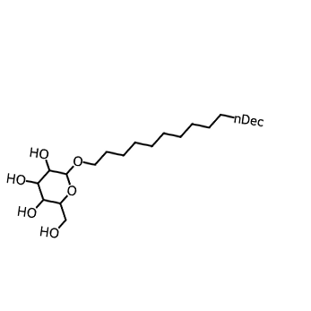 CCCCCCCCCCCCCCCCCCCCOC1OC(CO)C(O)C(O)C1O